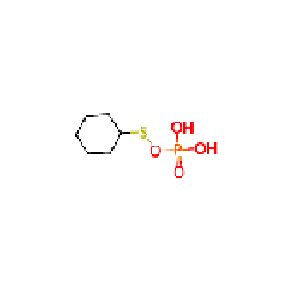 O=P(O)(O)OSC1CCCCC1